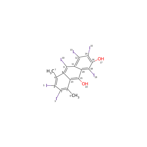 Cc1c(I)c(I)c(C)c2c(I)c3c(I)c(I)c(O)c(I)c3c(O)c12